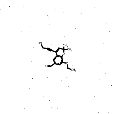 CCOc1cc(C=O)cc2c1OC(C)(C)C=C2C#CCO